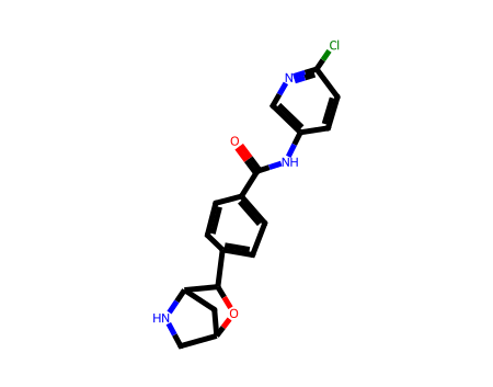 O=C(Nc1ccc(Cl)nc1)c1ccc(C2OC3CNC2C3)cc1